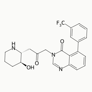 O=C(C[C@H]1NCCC[C@@H]1O)Cn1cnc2cccc(-c3cccc(C(F)(F)F)c3)c2c1=O